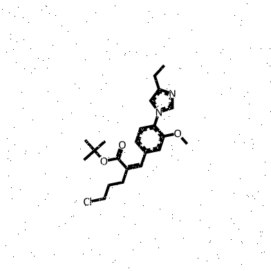 CCc1cn(-c2ccc(C=C(CCCCl)C(=O)OC(C)(C)C)cc2OC)cn1